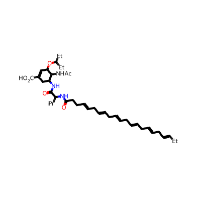 CCC=CCC=CCC=CCC=CCC=CCC=CCCC(=O)NC(C(=O)NC1CC(C(=O)O)=CC(OC(CC)CC)C1NC(C)=O)C(C)C